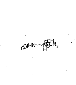 CC(C)S(=O)(=O)NCCCCCNCCCN1CCOCC1